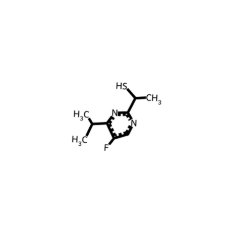 CC(C)c1nc(C(C)S)ncc1F